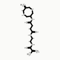 C=C1CSCC(OC(=O)CCC(=O)OCCOC(=O)C(=C)C)CSC1